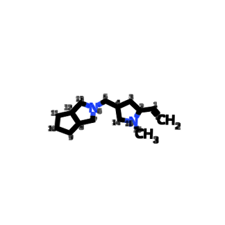 C=CC1CC(CN2CC3CCCC3C2)CN1C